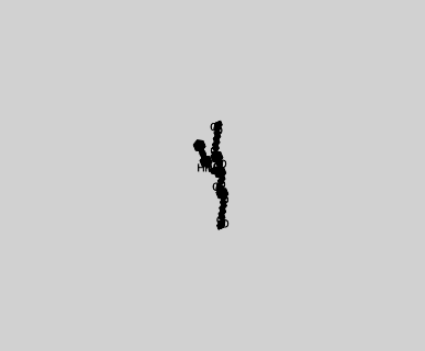 C=CC(=O)OCCCCCCOc1ccc(C(=O)OCCc2ccc(OC(=O)c3ccc(OCCCCCCOC(=O)C=C)cc3)c(/C=N/Nc3ccc(C#Cc4ccccc4)cc3)c2)cc1